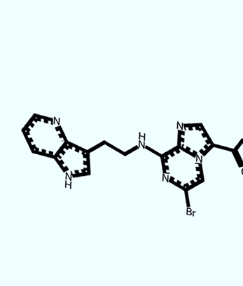 C=C(C)c1cnc2c(NCCc3c[nH]c4cccnc34)nc(Br)cn12